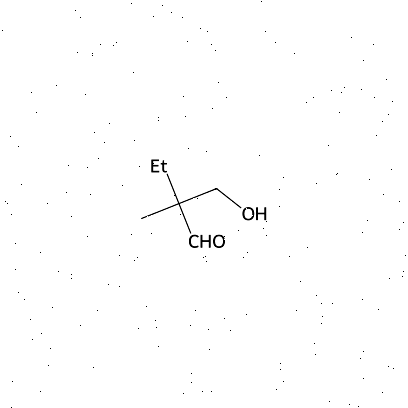 CCC(C)(C=O)CO